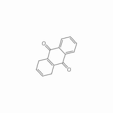 O=C1C2=C(CC=CC2)C(=O)c2ccccc21